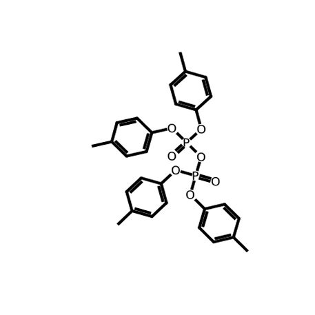 Cc1ccc(OP(=O)(Oc2ccc(C)cc2)OP(=O)(Oc2ccc(C)cc2)Oc2ccc(C)cc2)cc1